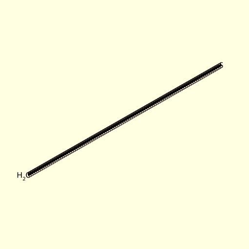 C=C=C=C=C=C=C=C=C=C=C=C=C=C=C=C=C=C=C=C=C=C=C=C=C=C=C=C=C=C=C=C=C=C=C=C=C=C=C=C=C=C=C=C=C=C=C=C=C=C=C=C=C=C=C=C=C=C=C=C=C=C=C=C=C=C=C=C=C=C=C=C=C=C=C=C=C=C=C=C=C=C=C=C=C=C=C=C=C=C=C=C=C=C=C=C=C=C=C=C=C=C=C=C=C=S